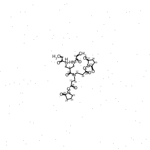 C=CC(=O)NCC(CNC(=O)C=C)C(=O)N(CCC(=O)ON1CCCC1=O)CCC(=O)ON1C(=O)CCC1=O